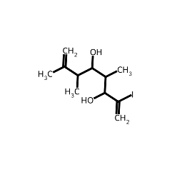 C=C(C)C(C)C(O)C(C)C(O)C(=C)I